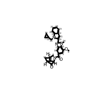 COc1cc(C(=O)N2C[C@H]3C[C@H]4C(=O)[C@@H]2[C@@H]34)cc2nc(-c3cc4ccccc4n3CC3CC3)n(C)c12